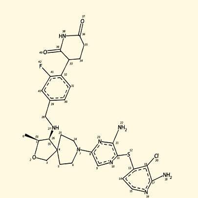 C[C@@H]1OCC2(CCN(c3cnc(Sc4ccnc(N)c4Cl)c(N)n3)CC2)[C@@H]1NCc1ccc(C2CCC(=O)NC2=O)c(F)c1